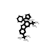 CC(C)(C)c1ccc2c(c1)-c1cc(C(C)(C)C)cc(C3(C4=CC=CC4)CCCCC3)c1C2